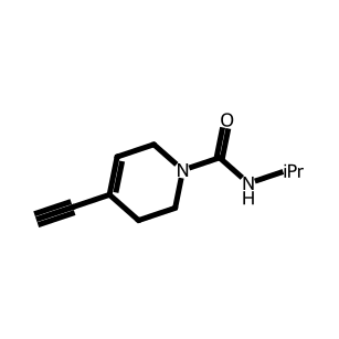 C#CC1=CCN(C(=O)NC(C)C)CC1